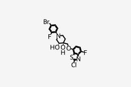 O[C@@H]1CN(c2ccc(Br)cc2F)CC[C@@]1(O)COc1ccc(F)c2nc(Cl)sc12